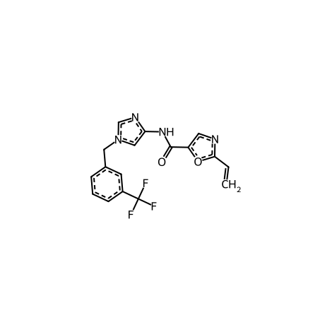 C=Cc1ncc(C(=O)Nc2cn(Cc3cccc(C(F)(F)F)c3)cn2)o1